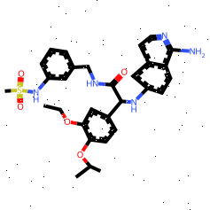 CCOc1cc(C(Nc2ccc3c(N)nccc3c2)C(=O)NCc2cccc(NS(C)(=O)=O)c2)ccc1OC(C)C